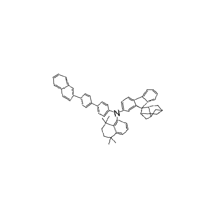 CC1(C)CCC(C)(C)c2c(N(c3ccc(-c4ccc(-c5ccc6ccccc6c5)cc4)cc3)c3ccc4c(c3)C3(c5ccccc5-4)C4CC5CC(C4)C3C5)cccc21